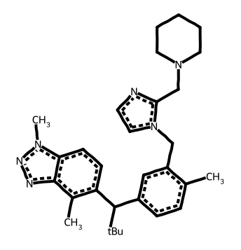 Cc1ccc(C(c2ccc3c(nnn3C)c2C)C(C)(C)C)cc1Cn1ccnc1CN1CCCCC1